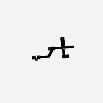 CP(=O)(O)NCN